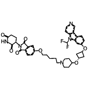 O=C1CCC(N2C(=O)c3ccc(OCCCCCN4CCC(O[C@H]5C[C@H](Oc6ccc7c8cnccc8n(C(F)F)c7c6)C5)CC4)cc3C2=O)C(=O)N1